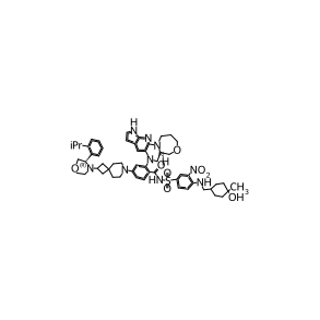 CC(C)c1ccccc1[C@@H]1COCCN1C1CC2(CCN(c3ccc(C(=O)NS(=O)(=O)c4ccc(NCC5CCC(C)(O)CC5)c([N+](=O)[O-])c4)c(N4C[C@@H]5COCCCN5c5nc6[nH]ccc6cc54)c3)CC2)C1